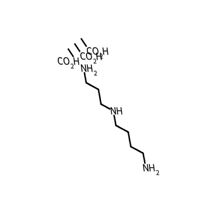 CC(=O)O.CC(=O)O.CC(=O)O.NCCCCNCCCN